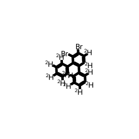 [2H]c1c([2H])c([2H])c(-c2c([2H])c([2H])c(Br)c(Br)c2-c2c([2H])c([2H])c([2H])c([2H])c2[2H])c([2H])c1[2H]